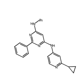 CC(C)Nc1cc(Nc2ccnc(C3CC3)c2)nc(-c2ccccc2)n1